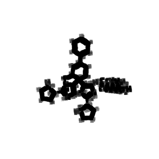 CC(=O)O.CC(=O)O.CC(=O)O.CC(=O)O.FC1C=C(c2ccccc2)C=CC1(c1cnc([C@@H]2CCCN2)[nH]1)c1cnc([C@@H]2CCCN2)[nH]1